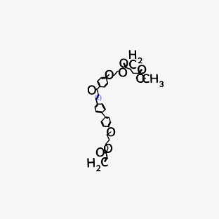 C=CC(=O)OCCCOc1ccc(-c2ccc(/C=C/C(=O)c3ccc(OCCOC(=O)C(=C)CC(=O)OC)cc3)cc2)cc1